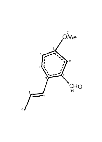 C/C=C/c1ccc(OC)cc1C=O